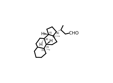 CC(CC=O)[C@H]1CC[C@H]2[C@@H]3CCC4CCCC[C@]4(C)[C@H]3CC[C@]12C